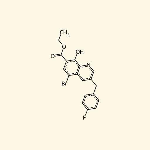 CCOC(=O)c1cc(Br)c2cc(Cc3ccc(F)cc3)cnc2c1O